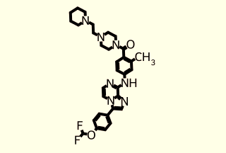 Cc1cc(Nc2nccn3c(-c4ccc(OC(F)F)cc4)cnc23)ccc1C(=O)N1CCN(CCN2CCCCC2)CC1